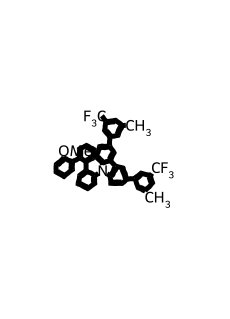 COc1ccccc1-c1ccccc1-c1ccccc1-n1c2ccc(-c3cc(C)cc(C(F)(F)F)c3)cc2c2cc(-c3cc(C)cc(C(F)(F)F)c3)ccc21